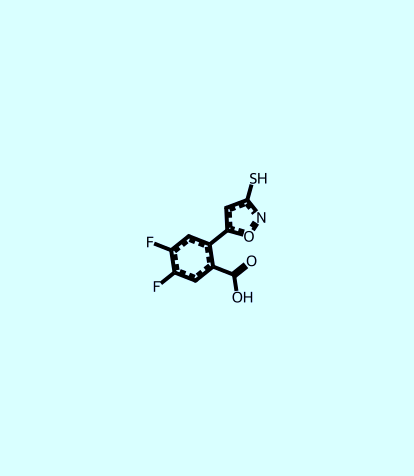 O=C(O)c1cc(F)c(F)cc1-c1cc(S)no1